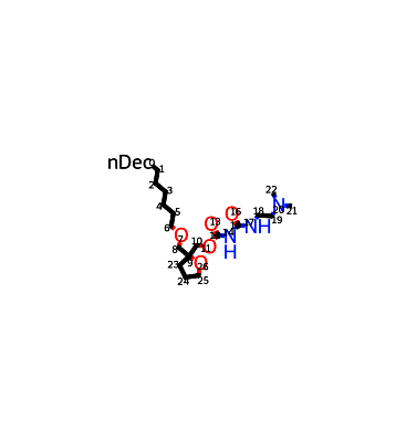 CCCCCCCCCCCCCCCCOCC1(COC(=O)NC(=O)NCCN(C)C)CCCO1